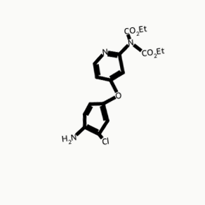 CCOC(=O)N(C(=O)OCC)c1cc(Oc2ccc(N)c(Cl)c2)ccn1